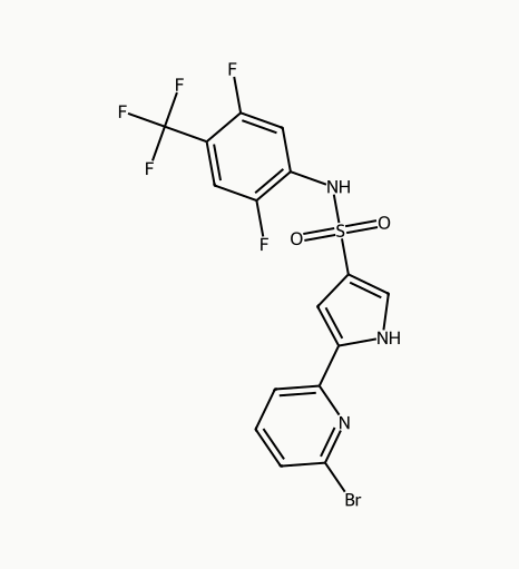 O=S(=O)(Nc1cc(F)c(C(F)(F)F)cc1F)c1c[nH]c(-c2cccc(Br)n2)c1